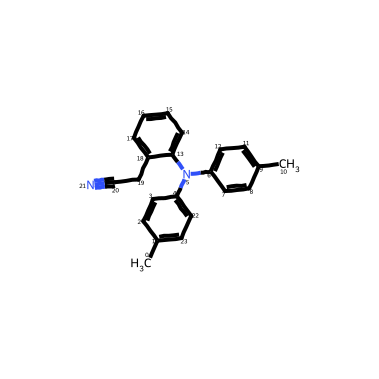 Cc1ccc(N(c2ccc(C)cc2)c2ccccc2CC#N)cc1